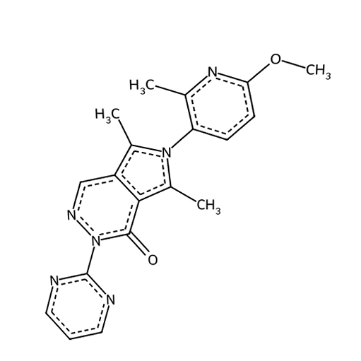 COc1ccc(-n2c(C)c3cnn(-c4ncccn4)c(=O)c3c2C)c(C)n1